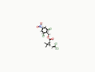 CC1(C)[C@@H](C=C(Cl)Cl)[C@@H]1C(=O)OCc1c(Cl)cc([N+](=O)[O-])cc1Cl